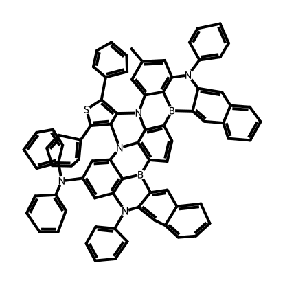 Cc1cc2c3c(c1)N1c4c(ccc5c4N(c4cc(N(c6ccccc6)c6ccccc6)cc6c4B5c4cc5ccccc5cc4N6c4ccccc4)c4c(-c5ccccc5)sc(-c5ccccc5)c41)B3c1cc3ccccc3cc1N2c1ccccc1